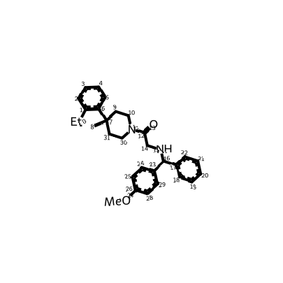 CCc1ccccc1C1(C)CCN(C(=O)CNC(c2ccccc2)c2ccc(OC)cc2)CC1